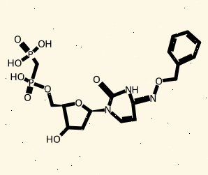 O=c1[nH]/c(=N\OCc2ccccc2)ccn1[C@H]1CC(O)[C@@H](COP(=O)(O)CP(=O)(O)O)O1